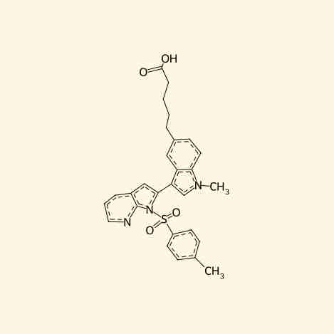 Cc1ccc(S(=O)(=O)n2c(-c3cn(C)c4ccc(CCCCC(=O)O)cc34)cc3cccnc32)cc1